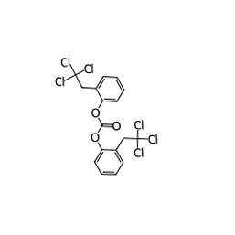 O=C(Oc1ccccc1CC(Cl)(Cl)Cl)Oc1ccccc1CC(Cl)(Cl)Cl